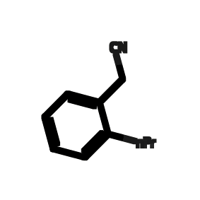 CCCc1ccccc1CC#N